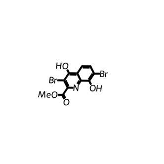 COC(=O)c1nc2c(O)c(Br)ccc2c(O)c1Br